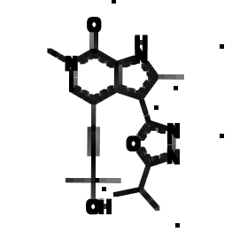 Cc1[nH]c2c(=O)n(C)cc(C#CC(C)(C)O)c2c1-c1nnc(C(C)C)o1